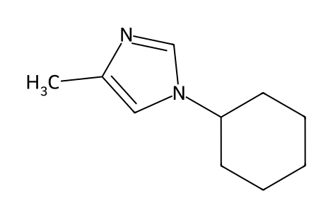 Cc1cn(C2CCCCC2)cn1